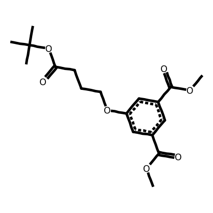 COC(=O)c1cc(OCCCC(=O)OC(C)(C)C)cc(C(=O)OC)c1